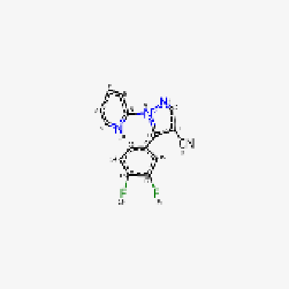 N#Cc1cnn(-c2ccccn2)c1-c1ccc(F)c(F)c1